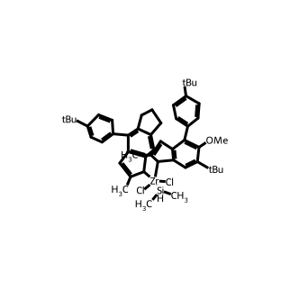 COc1c(C(C)(C)C)cc2c(c1-c1ccc(C(C)(C)C)cc1)C=C(C)[CH]2[Zr]([Cl])([Cl])([CH]1C(C)=Cc2c1cc1c(c2-c2ccc(C(C)(C)C)cc2)CCC1)[SiH](C)C